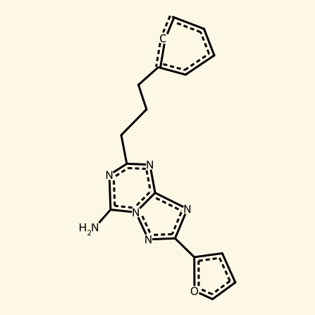 Nc1nc(CCCc2ccccc2)nc2nc(-c3ccco3)nn12